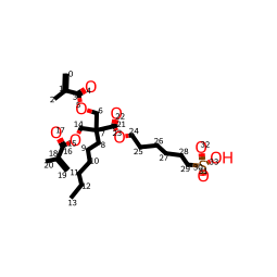 C=C(C)C(=O)OCC(CCCCCC)(COC(=O)C(=C)C)C(=O)OCCCCCCS(=O)(=O)O